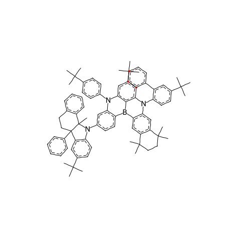 CC(C)(C)c1ccc(N2c3cc(N4c5ccc(C(C)(C)C)cc5C5(c6ccccc6)CCc6ccccc6C45C)ccc3B3c4cc5c(cc4N(c4ccc(C(C)(C)C)cc4-c4ccccc4)c4cc(C(C)(C)C)cc2c43)C(C)(C)CCC5(C)C)cc1